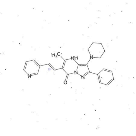 Cc1[nH]c2c(N3CCCCC3)c(-c3ccccc3)nn2c(=O)c1/C=C/c1cccnc1